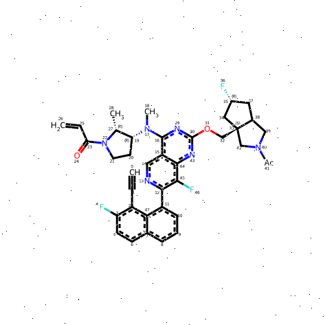 C#Cc1c(F)ccc2cccc(-c3ncc4c(N(C)[C@@H]5CCN(C(=O)C=C)[C@@H]5C)nc(OC[C@@]56C[C@H](F)CC5CN(C(C)=O)C6)nc4c3F)c12